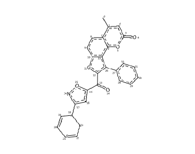 Cc1cc(=O)oc2c1ccc1oc(C(=O)c3cc(C4C=CC=CC4)no3)c(-c3ccccc3)c12